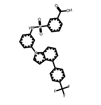 O=C(O)c1cccc(S(=O)(=O)Nc2cccc(-n3ccc4c(-c5ccc(C(F)(F)F)cc5)cccc43)c2)c1